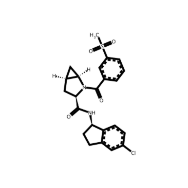 CS(=O)(=O)c1cccc(C(=O)N2[C@@H](C(=O)N[C@@H]3CCc4cc(Cl)ccc43)C[C@H]3C[C@H]32)c1